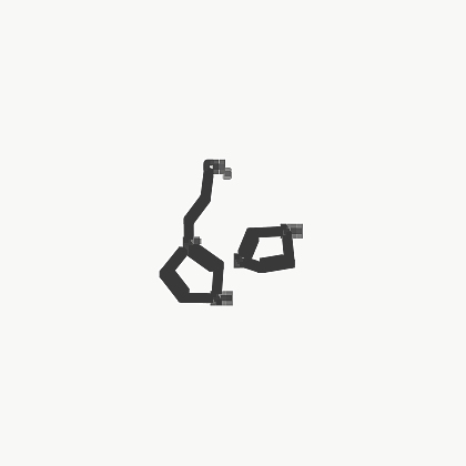 CCC[n+]1cc[nH]c1.c1c[nH]cn1